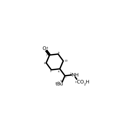 CC(C)(C)C(NC(=O)O)C1CCC(=O)CC1